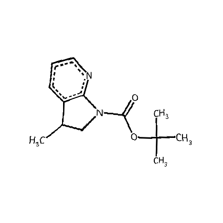 CC1CN(C(=O)OC(C)(C)C)c2ncccc21